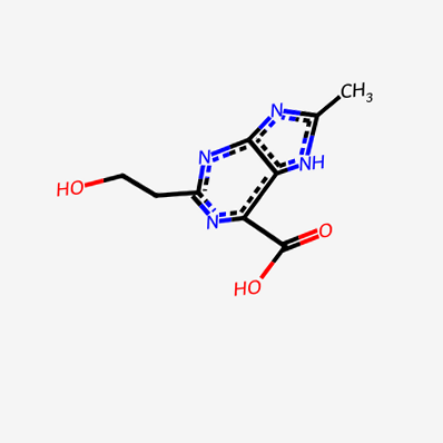 Cc1nc2nc(CCO)nc(C(=O)O)c2[nH]1